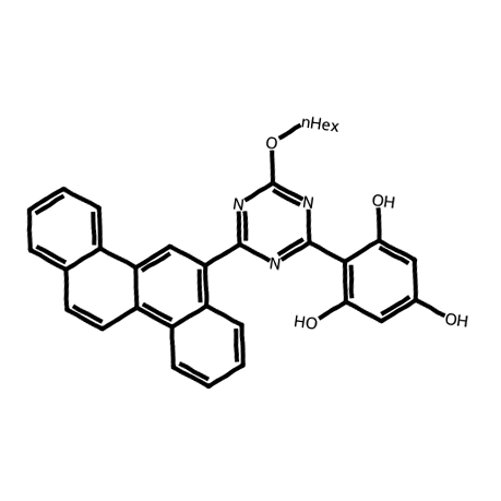 CCCCCCOc1nc(-c2c(O)cc(O)cc2O)nc(-c2cc3c4ccccc4ccc3c3ccccc23)n1